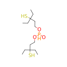 CCC(S)(CC)CCO[PH](=O)OCCC(S)(CC)CC